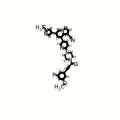 COc1cc(F)cc(C#CC(=O)N2CCN(c3ccc(-c4cc(-c5cnn(C)c5)cn5ncc(C#N)c45)cn3)CC2)c1